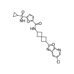 N=S(=O)(c1ccc(C(=O)NC2CC3(C2)CC(c2nc4cc(Cl)cnc4o2)C3)o1)C1CC1